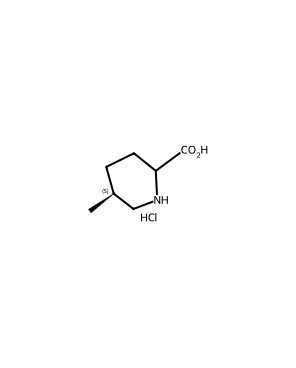 C[C@H]1CCC(C(=O)O)NC1.Cl